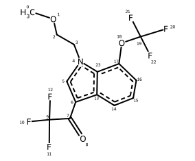 COCCn1cc(C(=O)C(F)(F)F)c2cccc(OC(F)(F)F)c21